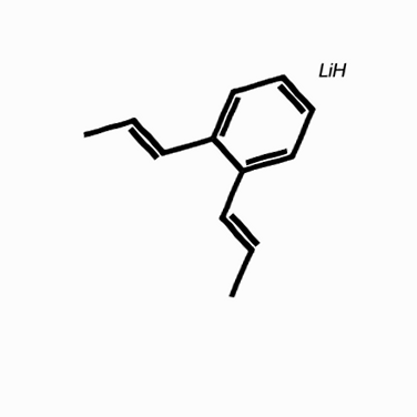 CC=Cc1ccccc1C=CC.[LiH]